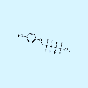 Oc1ccc(OCC(F)(F)C(F)(F)C(F)(F)C(F)(F)C(F)(F)F)cc1